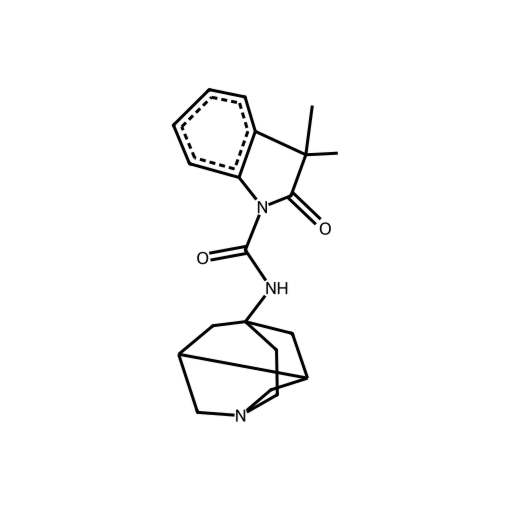 CC1(C)C(=O)N(C(=O)NC23CCN4CC(C2)C(C4)C3)c2ccccc21